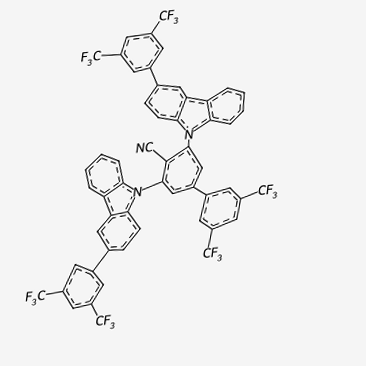 N#Cc1c(-n2c3ccccc3c3cc(-c4cc(C(F)(F)F)cc(C(F)(F)F)c4)ccc32)cc(-c2cc(C(F)(F)F)cc(C(F)(F)F)c2)cc1-n1c2ccccc2c2cc(-c3cc(C(F)(F)F)cc(C(F)(F)F)c3)ccc21